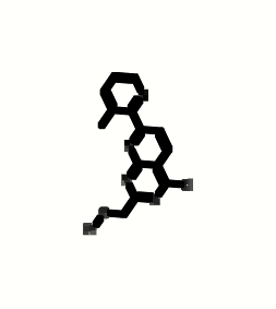 CCOCc1nc(Cl)c2ccc(-c3ncccc3C)nc2n1